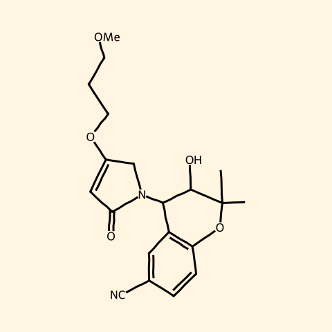 COCCCOC1=CC(=O)N(C2c3cc(C#N)ccc3OC(C)(C)C2O)C1